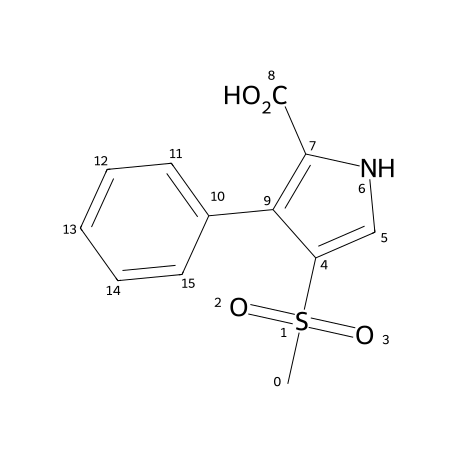 CS(=O)(=O)c1c[nH]c(C(=O)O)c1-c1ccccc1